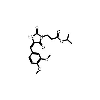 COc1ccc(C=C2NC(=O)N(CCC(=O)OC(C)C)C2=O)cc1OC